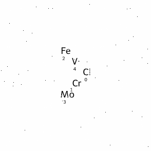 [C].[Cr].[Fe].[Mo].[V]